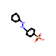 O=S(=O)(O)c1ccc(NNc2ccccc2)cc1